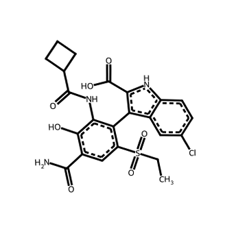 CCS(=O)(=O)c1cc(C(N)=O)c(O)c(NC(=O)C2CCC2)c1-c1c(C(=O)O)[nH]c2ccc(Cl)cc12